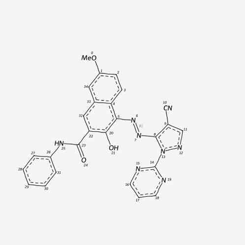 COc1ccc2c(/N=N/c3c(C#N)cnn3-c3ncccn3)c(O)c(C(=O)Nc3ccccc3)cc2c1